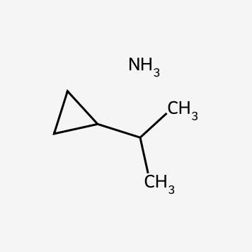 CC(C)C1CC1.N